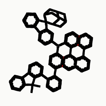 CC1(C)c2ccccc2-c2cccc(-c3ccccc3-c3ccc(N(c4ccc5c(c4)C4(c6ccccc6-5)C5CC6CC(C5)CC4C6)c4ccccc4-c4cccc5cccc(-c6ccccc6)c45)cc3)c21